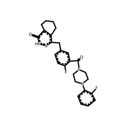 O=C(c1cc(Cc2n[nH]c(=O)c3c2CCCC3)ccc1F)N1CCN(c2ccccc2F)CC1